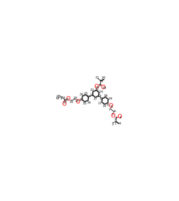 C=C(C)C(=O)OCCOc1ccc(-c2cc(OC(=O)C(=C)C)cc(-c3ccc(OCCOC(=O)C(C)C)cc3)c2)cc1